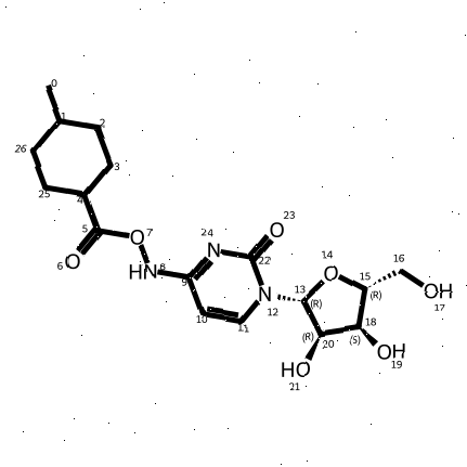 CC1CCC(C(=O)ONc2ccn([C@@H]3O[C@H](CO)[C@@H](O)[C@H]3O)c(=O)n2)CC1